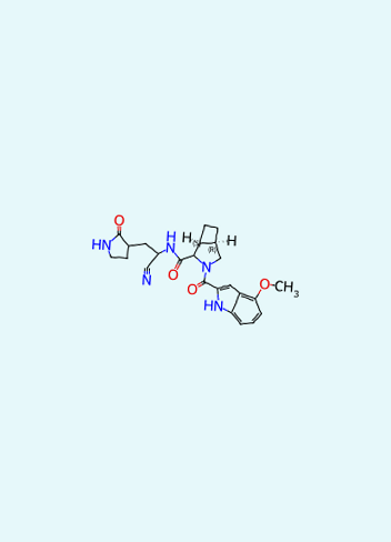 COc1cccc2[nH]c(C(=O)N3C[C@@H]4CC[C@@H]4C3C(=O)NC(C#N)CC3CCNC3=O)cc12